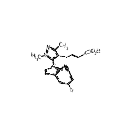 CCOC(=O)/C=C/Cc1c(C)nn(C)c1-n1ccc2cc(Cl)ccc21